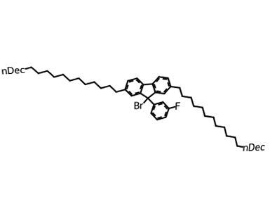 CCCCCCCCCCCCCCCCCCCCCCc1ccc2c(c1)C(Br)(c1cccc(F)c1)c1cc(CCCCCCCCCCCCCCCCCCCCCC)ccc1-2